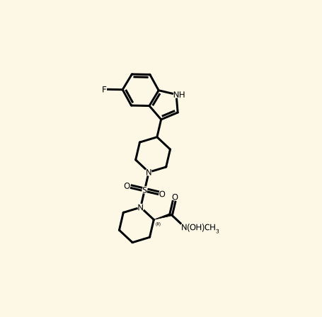 CN(O)C(=O)[C@H]1CCCCN1S(=O)(=O)N1CCC(c2c[nH]c3ccc(F)cc23)CC1